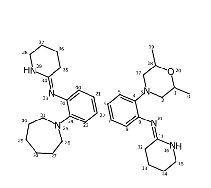 CC1CN(c2ccccc2N=C2CCCCN2)CC(C)O1.c1ccc(N2CCCCCC2)c(N=C2CCCCN2)c1